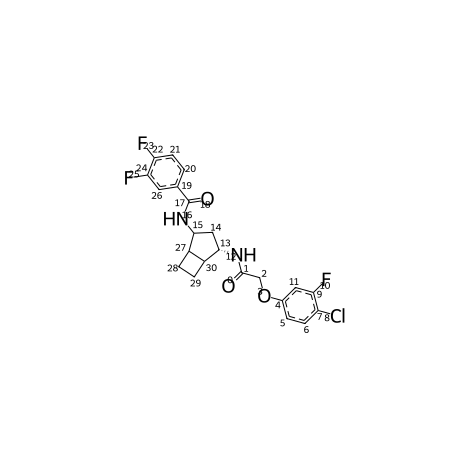 O=C(COc1ccc(Cl)c(F)c1)N[C@H]1CC(NC(=O)c2ccc(F)c(F)c2)C2CCC21